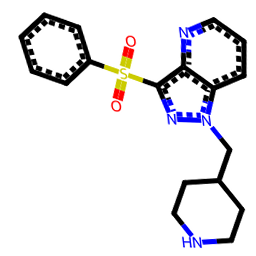 O=S(=O)(c1ccccc1)c1nn(CC2CCNCC2)c2cccnc12